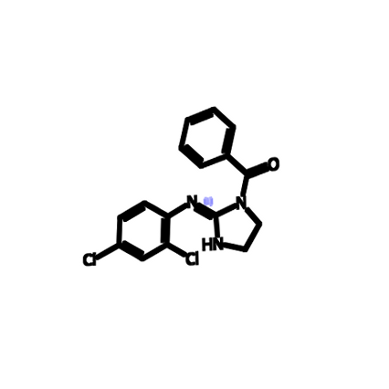 O=C(c1ccccc1)N1CCN/C1=N\c1ccc(Cl)cc1Cl